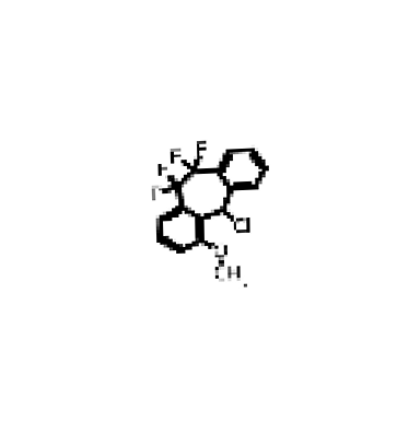 COc1cccc2c1C(Cl)c1ccccc1C(F)(F)C2(F)F